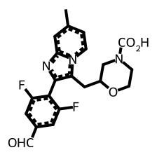 Cc1ccn2c(CC3CN(C(=O)O)CCO3)c(-c3c(F)cc(C=O)cc3F)nc2c1